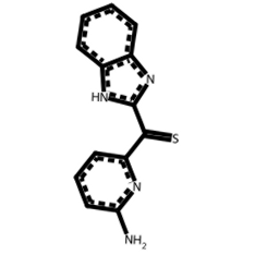 Nc1cccc(C(=S)c2nc3ccccc3[nH]2)n1